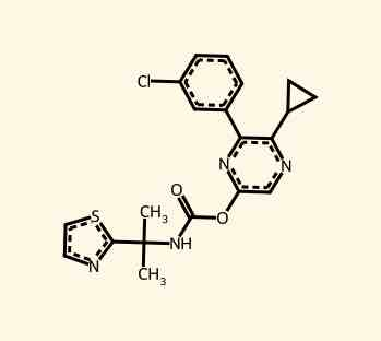 CC(C)(NC(=O)Oc1cnc(C2CC2)c(-c2cccc(Cl)c2)n1)c1nccs1